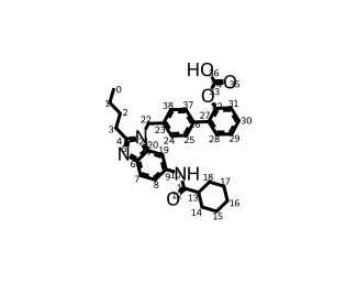 CCCCc1nc2ccc(NC(=O)C3CCCCC3)cc2n1Cc1ccc(-c2ccccc2OC(=O)O)cc1